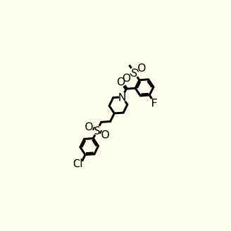 CS(=O)(=O)c1ccc(F)cc1C(=O)N1CCC(CCS(=O)(=O)c2ccc(Cl)cc2)CC1